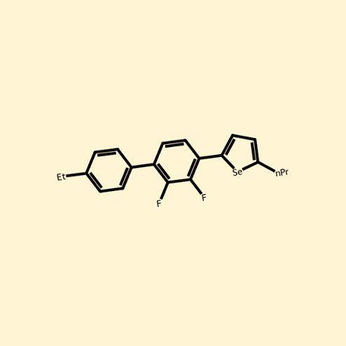 CCCc1ccc(-c2ccc(-c3ccc(CC)cc3)c(F)c2F)[se]1